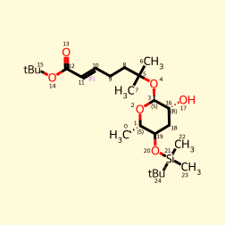 C[C@@H]1O[C@@H](OC(C)(C)CC/C=C/C(=O)OC(C)(C)C)[C@H](O)CC1O[Si](C)(C)C(C)(C)C